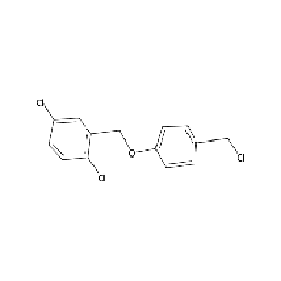 ClCc1ccc(OCc2cc(Cl)ccc2Cl)cc1